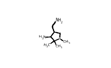 CN1CC(CN)C(N)C1(C)C